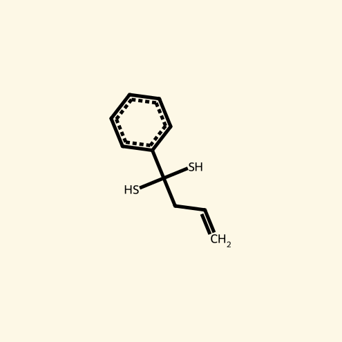 C=CCC(S)(S)c1ccccc1